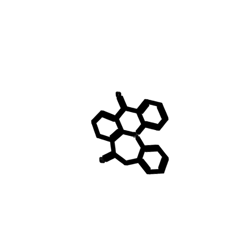 O=C1Cc2ccccc2-n2c3c(c(=O)c4ccccc42)=CCCC=31